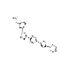 CN(C)Cc1cccc(-c2cncc(-c3[c]cc(-c4ccc(N5CCOCC5)cc4)cn3)c2)c1